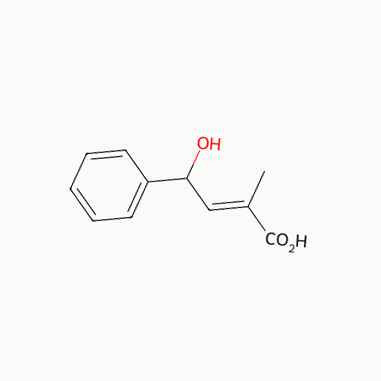 CC(=CC(O)c1ccccc1)C(=O)O